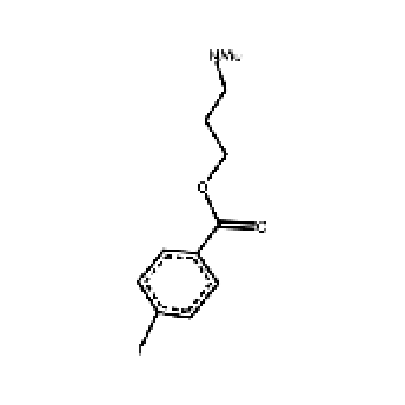 CNCCCOC(=O)c1ccc(I)cc1